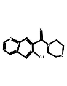 O=C(c1cc2ncccc2cc1O)N1CCOCC1